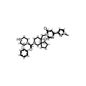 Cn1ccc(-c2cc(=O)n(C[C@]3(O)CCN(C(=O)N4CCNC[C@H]4c4ccccc4)CC34CCCC4)cn2)n1